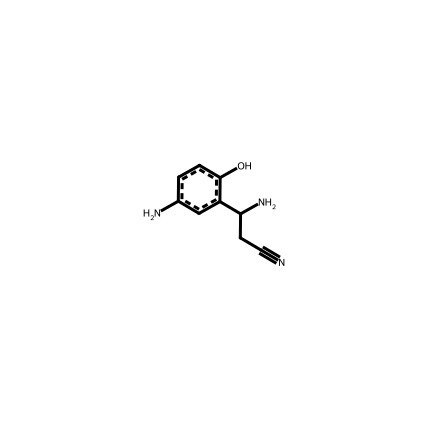 N#CCC(N)c1cc(N)ccc1O